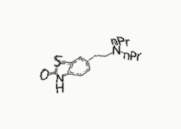 CCCN(CCC)CCc1ccc2[nH]c(=O)sc2c1